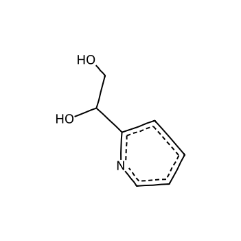 OCC(O)c1ccccn1